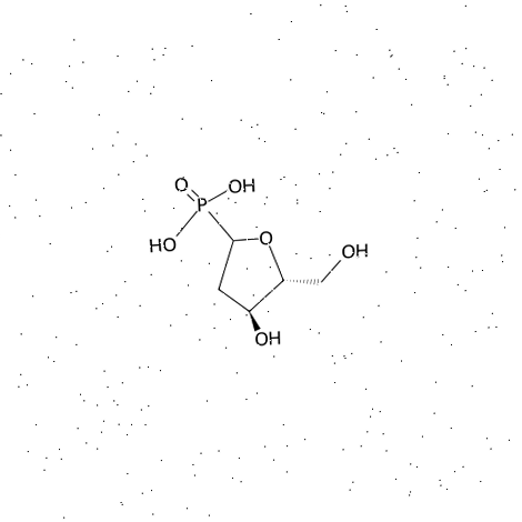 O=P(O)(O)C1C[C@H](O)[C@@H](CO)O1